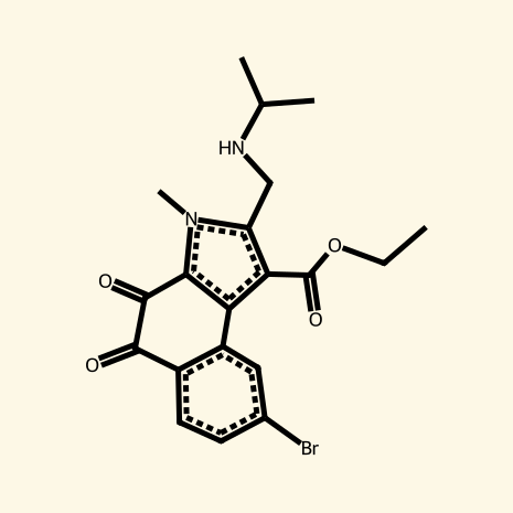 CCOC(=O)c1c2c(n(C)c1CNC(C)C)C(=O)C(=O)c1ccc(Br)cc1-2